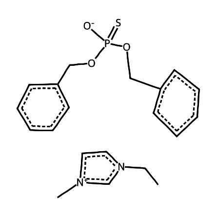 CCn1cc[n+](C)c1.[O-]P(=S)(OCc1ccccc1)OCc1ccccc1